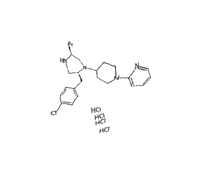 CC(C)[C@H]1CN(C2CCN(c3ccccn3)CC2)[C@@H](Cc2ccc(Cl)cc2)CN1.Cl.Cl.Cl.Cl